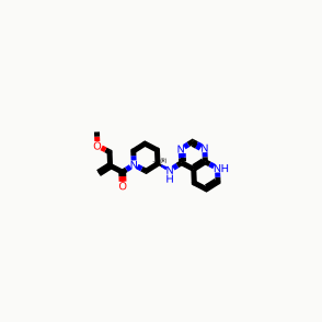 C=C(COC)C(=O)N1CCC[C@@H](Nc2ncnc3c2CC=CN3)C1